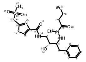 CCN(NC(Cc1ccccc1)[C@H](O)CNC(=O)c1csc(NS(C)(=O)=O)n1)C(=O)CCC(C)C